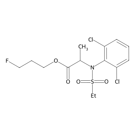 CCS(=O)(=O)N(c1c(Cl)cccc1Cl)C(C)C(=O)OCCCF